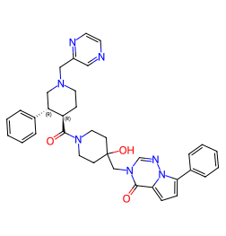 O=C([C@@H]1CCN(Cc2cnccn2)C[C@H]1c1ccccc1)N1CCC(O)(Cn2cnn3c(-c4ccccc4)ccc3c2=O)CC1